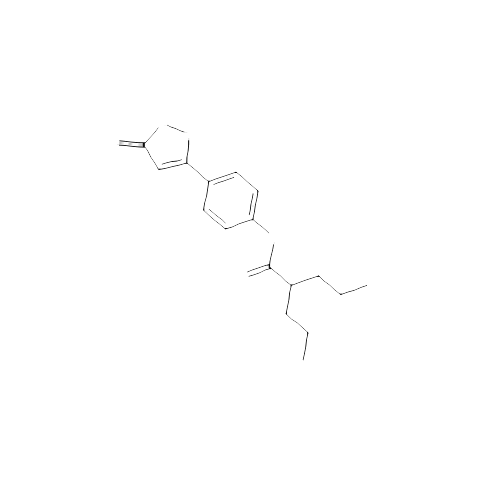 CCCC(CCC)C(=O)Oc1ccc(-c2cc(=S)ss2)cc1